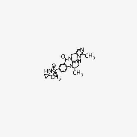 Cc1ncc(CN2C(=O)c3cc(S(=O)(=O)NC4(C)CC4)ccc3N3C2=NC[C@H]3C)[nH]1